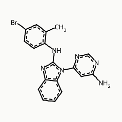 Cc1cc(Br)ccc1Nc1nc2ccccc2n1-c1cc(N)ncn1